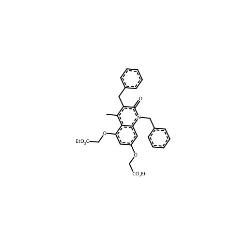 CCOC(=O)COc1cc(OCC(=O)OCC)c2c(C)c(Cc3ccccc3)c(=O)n(Cc3ccccc3)c2c1